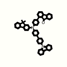 CC1(C)c2ccccc2-c2ccc(N(c3ccc(-c4ccc(-n5c6ccccc6c6ccccc65)cc4)cc3)c3ccc(-c4cccc5c4C(=O)c4ccccc4-5)cc3)cc21